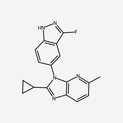 Cc1ccc2nc(C3CC3)n(-c3ccc4[nH]nc(F)c4c3)c2n1